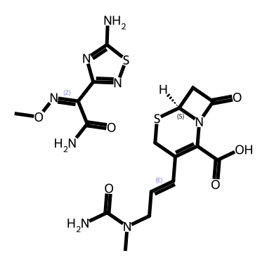 CN(C/C=C/C1=C(C(=O)O)N2C(=O)C[C@@H]2SC1)C(N)=O.CO/N=C(\C(N)=O)c1nsc(N)n1